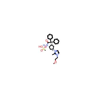 COCC[n+]1ccn([C@@H]2CC[C@H](C(C(N)=O)(c3ccccc3)c3ccccc3)C2)c1C.CS(=O)(=O)O